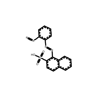 [N]=Nc1ccccc1/N=N/c1c(S(=O)(=O)O)ccc2ccccc12